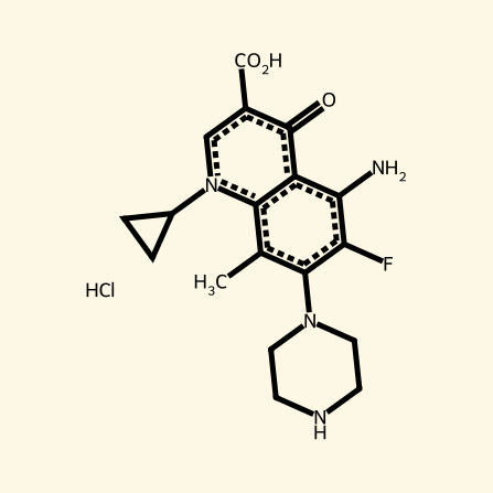 Cc1c(N2CCNCC2)c(F)c(N)c2c(=O)c(C(=O)O)cn(C3CC3)c12.Cl